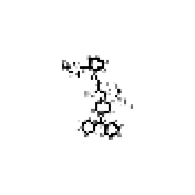 CCCC.O=[PH](O)OCc1ccccc1OCC(O)CN1CCN(C(c2ccccc2)C2CCCCC2)CC1